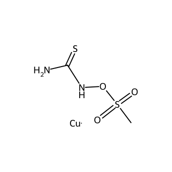 CS(=O)(=O)ONC(N)=S.[Cu]